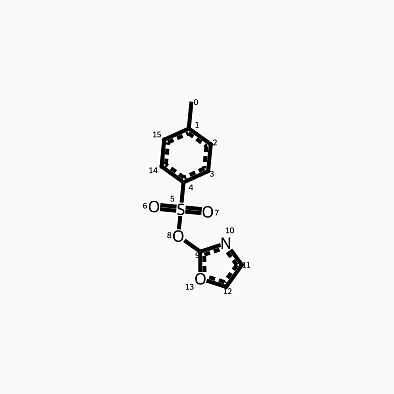 Cc1ccc(S(=O)(=O)Oc2ncco2)cc1